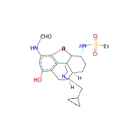 CCS(=O)(=O)N[C@@H]1CC[C@H]2[C@H]3Cc4c(O)cc(NC=O)c5c4[C@@]2(CCN3CC2CC2)[C@H]1O5